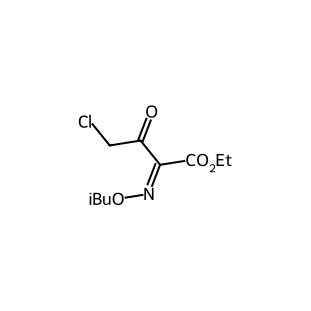 CCOC(=O)C(=NOCC(C)C)C(=O)CCl